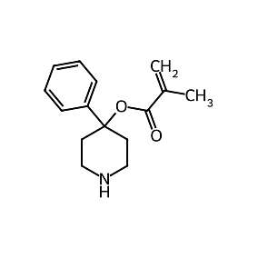 C=C(C)C(=O)OC1(c2ccccc2)CCNCC1